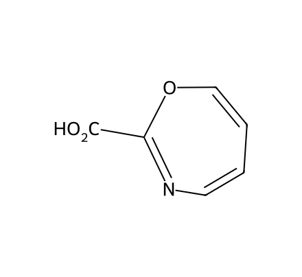 O=C(O)C1=NC=CC=CO1